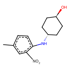 Cc1ccc(N[C@H]2CC[C@H](O)CC2)c([N+](=O)[O-])c1